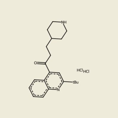 CC(C)(C)c1cc(C(=O)CCC2CCNCC2)c2ccccc2n1.Cl.Cl